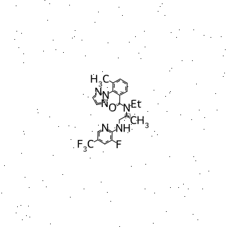 CCN(C(=O)c1cccc(C)c1-n1nccn1)[C@@H](C)CNc1ncc(C(F)(F)F)cc1F